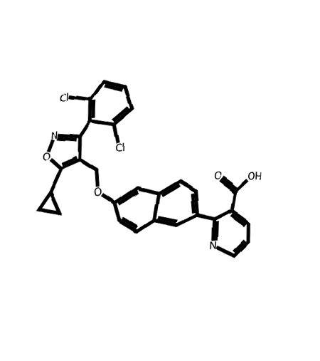 O=C(O)c1cccnc1-c1ccc2cc(OCc3c(-c4c(Cl)cccc4Cl)noc3C3CC3)ccc2c1